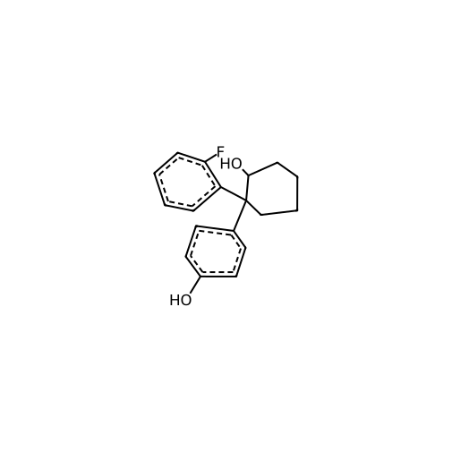 Oc1ccc(C2(c3ccccc3F)CCCCC2O)cc1